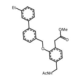 CCc1cccc(-c2cccc(COc3cc(CNC(C)=O)ccc3CC(=O)OC)c2)c1